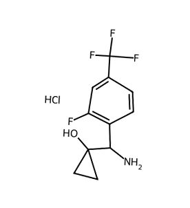 Cl.NC(c1ccc(C(F)(F)F)cc1F)C1(O)CC1